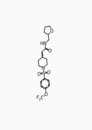 O=C(C=C1CCN(S(=O)(=O)c2ccc(OC(F)(F)F)cc2)CC1)NCC1CCCO1